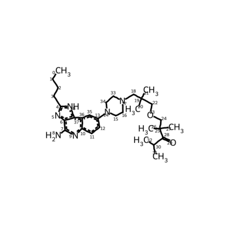 CCCCc1nc2c(N)nc3ccc(N4CCN(CC(C)(C)COCC(C)(C)C(=O)C(C)C)CC4)cc3c2[nH]1